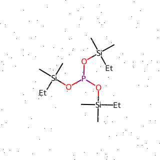 CC[Si](C)(C)OP(O[Si](C)(C)CC)O[Si](C)(C)CC